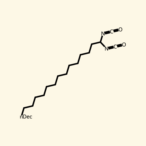 CCCCCCCCCCCCCCCCCCCCCCCC(N=C=O)N=C=O